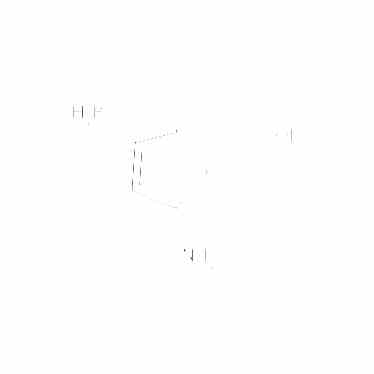 BC1=C[C@@H](N)[C@@H](CO)O1